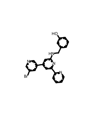 Oc1cccc(CNc2cc(-c3cncc(Br)c3)cc(-c3ccccn3)n2)c1